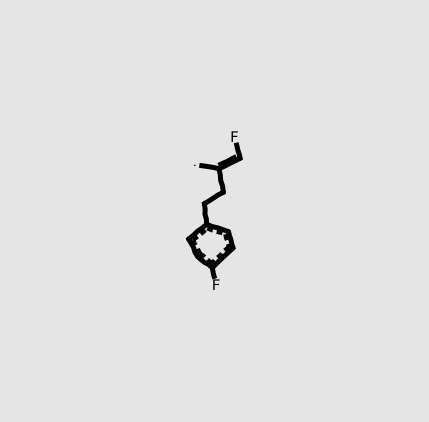 [CH2]/C(=C\F)CCc1ccc(F)cc1